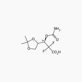 CC1(C)OCC([C@@H](OC(N)=O)C(F)(F)C(=O)O)O1